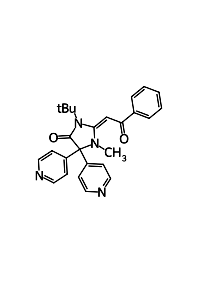 CN1C(=CC(=O)c2ccccc2)N(C(C)(C)C)C(=O)C1(c1ccncc1)c1ccncc1